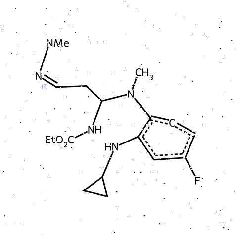 CCOC(=O)NC(C/C=N\NC)N(C)c1ccc(F)cc1NC1CC1